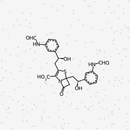 O=CNc1cccc([C@@H](O)CC2=C(C(=O)O)N3C(=O)CC3(C[C@H](O)c3cccc(NC=O)c3)S2)c1